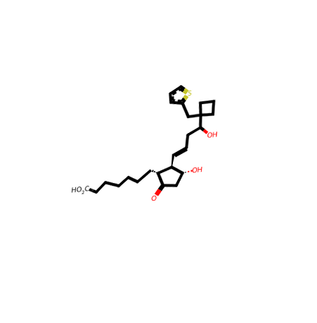 O=C(O)CCCCCC[C@H]1C(=O)C[C@@H](O)[C@@H]1C=CCC(O)C1(Cc2cccs2)CCC1